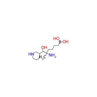 CC(N)(CCCCB(O)O)C(O)C1CCCNC1